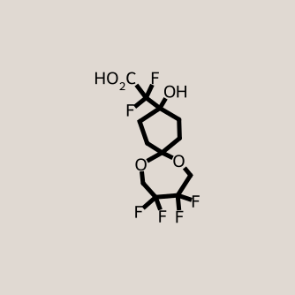 O=C(O)C(F)(F)C1(O)CCC2(CC1)OCC(F)(F)C(F)(F)CO2